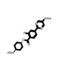 CCCCCCCCCC[C@H]1CC[C@H](OC(=O)c2ccc(-c3ncc(CCCCCC)cn3)cc2F)CC1